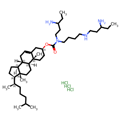 CCC(N)CCNCCCCN(CCC(N)CC)C(=O)O[C@H]1CC[C@@]2(C)C(=CC[C@H]3[C@@H]4CC[C@H]([C@H](C)CCCC(C)C)[C@@]4(C)CC[C@@H]32)C1.Cl.Cl.Cl